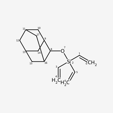 C=C[Si](C=C)(C=C)OC1C2CC3CC(C2)CC1C3